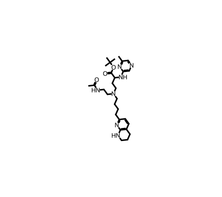 CC(=O)NCCN(CCCCc1ccc2c(n1)NCCC2)CCC(Nc1cncc(C)n1)C(=O)OC(C)(C)C